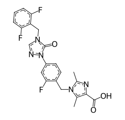 Cc1nc(C(=O)O)c(C)n1Cc1ccc(-n2ncn(Cc3c(F)cccc3F)c2=O)cc1F